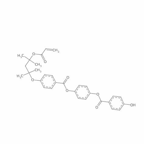 C=CC(=O)OC(C)(C)CC(C)(C)Oc1ccc(C(=O)Oc2ccc(OC(=O)c3ccc(O)cc3)cc2)cc1